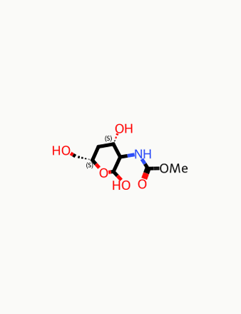 COC(=O)NC1C(O)O[C@H](CO)C[C@@H]1O